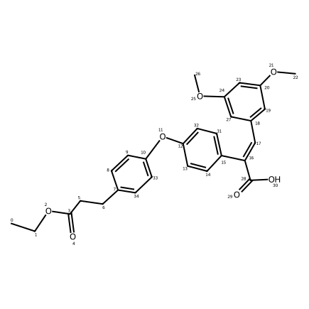 CCOC(=O)CCc1ccc(Oc2ccc(/C(=C\c3cc(OC)cc(OC)c3)C(=O)O)cc2)cc1